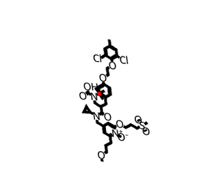 COCCCc1cc(CN(C(=O)C(Cc2ccc(OCCOc3c(Cl)cc(C)cc3Cl)cc2)CN(C(=O)O)C(C)(C)C)C2CC2)cc(OCCCS(C)(=O)=O)[n+]1[O-]